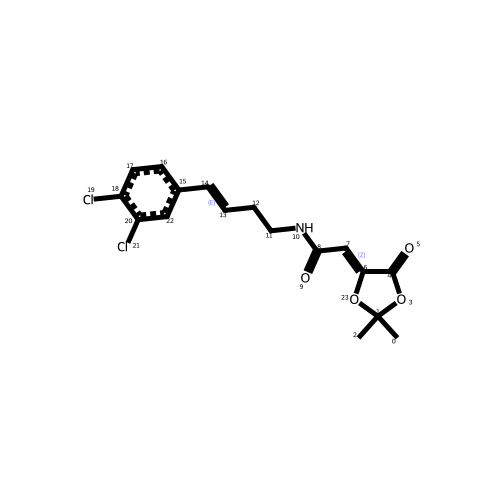 CC1(C)OC(=O)/C(=C/C(=O)NCC/C=C/c2ccc(Cl)c(Cl)c2)O1